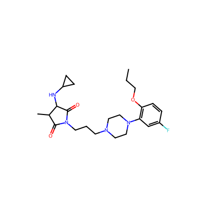 CCCOc1ccc(F)cc1N1CCN(CCCN2C(=O)C(C)C(NC3CC3)C2=O)CC1